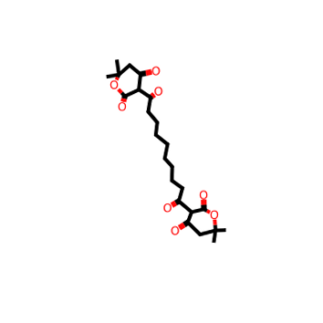 CC1(C)CC(=O)C(C(=O)CCCCCCCCC(=O)C2C(=O)CC(C)(C)OC2=O)C(=O)O1